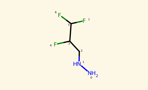 NNCC(F)C(F)F